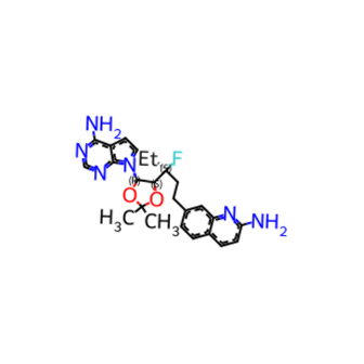 CC[C@](F)(CCc1ccc2ccc(N)nc2c1)[C@H]1OC(C)(C)O[C@H]1n1ccc2c(N)ncnc21